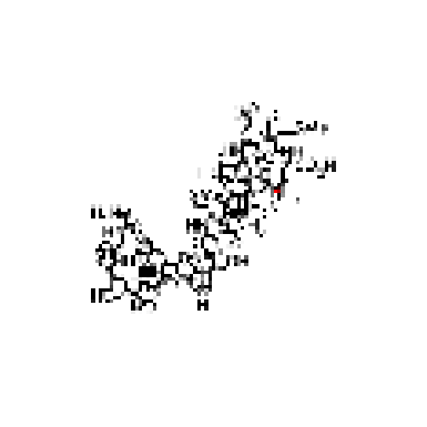 CSCC[C@H](NC(=O)[C@H](CC(N)=O)NC(=O)[C@H](CO)NC(=O)[C@H](CO)NC(=O)[C@H](Cc1c[nH]cn1)NC(=O)[C@H](CO)NC(=O)[C@H](CO)NC(=O)[C@H](CS)NC(=O)CNC(=O)[C@H](C)N)C(=O)N[C@@H](C)C(=O)N[C@@H](CC(N)=O)C(=O)N[C@H](C(=O)N[C@@H](CCC(N)=O)C(=O)N[C@@H](CCSC)C(=O)N[C@@H](CCCCN)C(=O)O)[C@@H](C)O